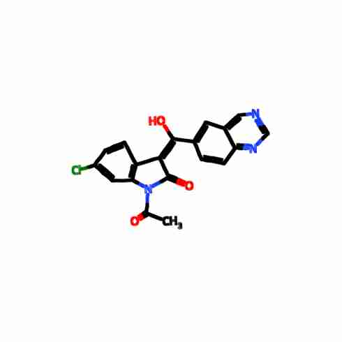 CC(=O)N1C(=O)/C(=C(/O)c2ccc3ncncc3c2)c2ccc(Cl)cc21